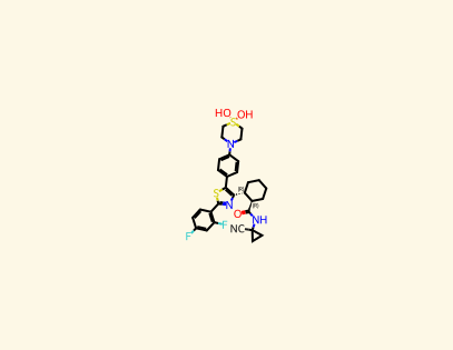 N#CC1(NC(=O)[C@@H]2CCCC[C@H]2c2nc(-c3ccc(F)cc3F)sc2-c2ccc(N3CCS(O)(O)CC3)cc2)CC1